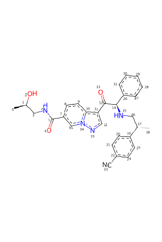 C[C@@H](O)CNC(=O)c1ccc2c(C(=O)[C@H](NC[C@H](C)c3ccc(C#N)cc3)c3ccccc3)cnn2c1